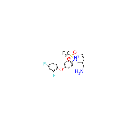 NCC1=C[N+](c2ccc(Oc3ccc(F)cc3F)cc2)(S(=O)(=O)C(F)(F)F)CC=C1